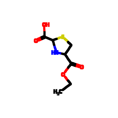 CCOC(=O)C1CSC(C(=O)O)N1